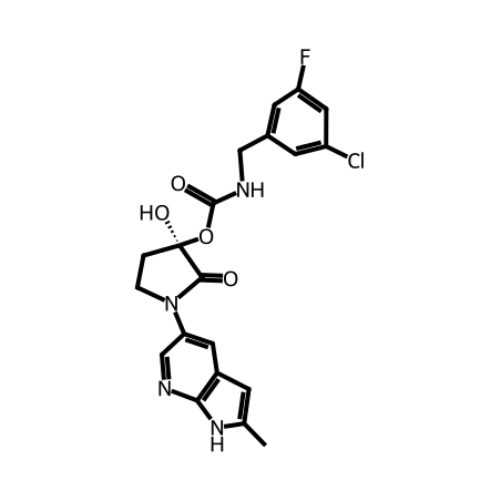 Cc1cc2cc(N3CC[C@@](O)(OC(=O)NCc4cc(F)cc(Cl)c4)C3=O)cnc2[nH]1